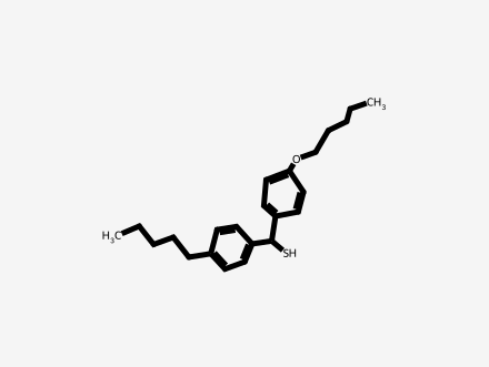 CCCCCOc1ccc(C(S)c2ccc(CCCCC)cc2)cc1